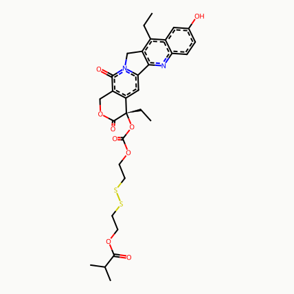 CCc1c2c(nc3ccc(O)cc13)-c1cc3c(c(=O)n1C2)COC(=O)[C@@]3(CC)OC(=O)OCCSSCCOC(=O)C(C)C